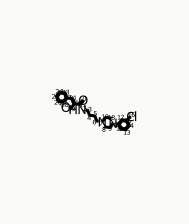 O=C(NCCCCN1CCN(c2cccc(Cl)c2)CC1)C1=Cc2ccccc2OC1